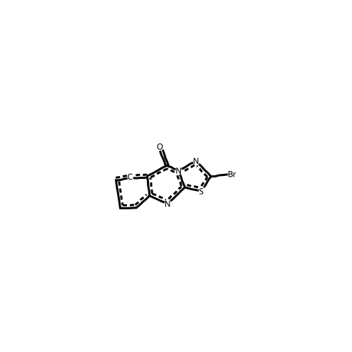 O=c1c2ccccc2nc2sc(Br)nn12